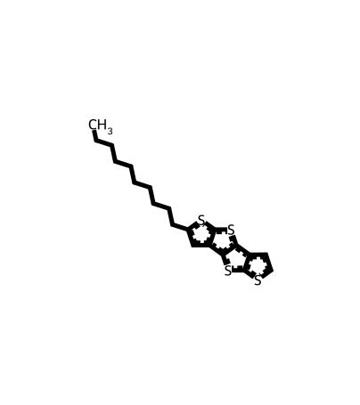 CCCCCCCCCCc1cc2c(s1)sc1c3ccsc3sc21